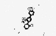 O=C1CCCCC1c1ccc(-c2ccc3c(c2)OCO3)cc1[N+](=O)[O-]